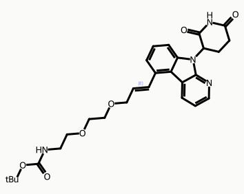 CC(C)(C)OC(=O)NCCOCCOC/C=C/c1cccc2c1c1cccnc1n2C1CCC(=O)NC1=O